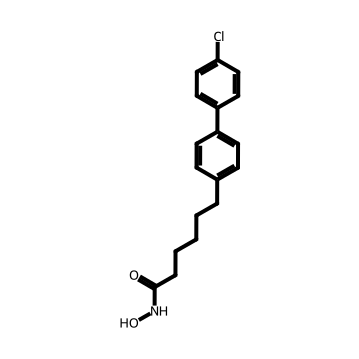 O=C(CCCCCc1ccc(-c2ccc(Cl)cc2)cc1)NO